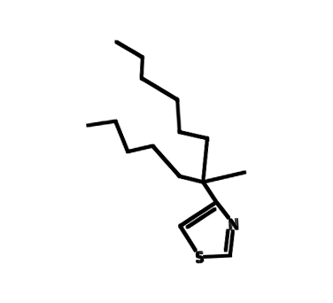 CCCCCCC(C)(CCCCC)c1cscn1